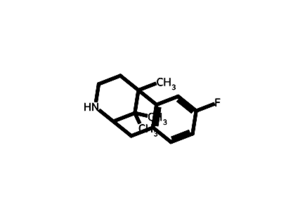 CC12CCNC(Cc3ccc(F)cc31)C2(C)C